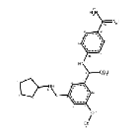 CCOc1cc(CNC2CCCC2)cc(C(Nc2ccc(C(=N)N)cc2)C(=O)O)c1